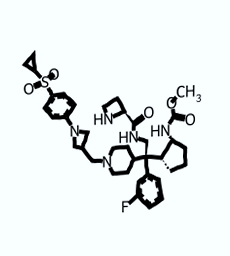 COC(=O)N[C@H]1CCC[C@@H]1[C@](CNC(=O)[C@@H]1CCN1)(c1cccc(F)c1)C1CCN(CC2CN(c3ccc(S(=O)(=O)C4CC4)cc3)C2)CC1